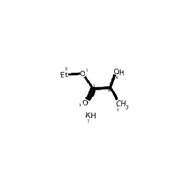 CCOC(=O)C(C)O.[KH]